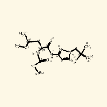 CCO[C@@H](C)C[C@H](NC(=O)OC(C)(C)C)C(=O)Nc1ccn(CC(C)(C)O)n1